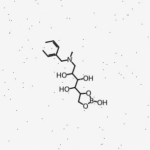 C/C=C\C(=C/C)CN(C)CC(O)C(O)C(O)C1COB(O)O1